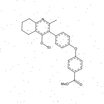 CCOc1c2c(nc(C)c1-c1ccc(Oc3ccc(C(=O)OC)cc3)cc1)CCCC2